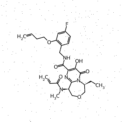 C=CCCOc1cc(F)ccc1CNC(=O)c1nc2n(c(=O)c1O)[C@@H](CC)COC[C@H]2N(C)C(=O)C=C